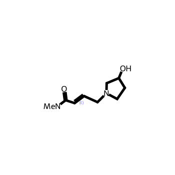 CNC(=O)/C=C/CN1CCC(O)C1